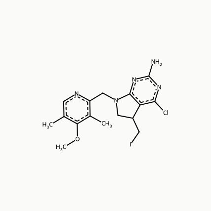 COc1c(C)cnc(CN2CC(CI)c3c(Cl)nc(N)nc32)c1C